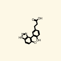 O=C(O)CCc1ccc(O)c(-c2c(Cl)ccc3[nH]nnc23)c1